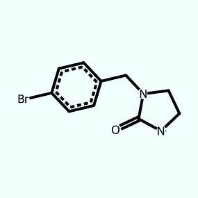 O=C1[N]CCN1Cc1ccc(Br)cc1